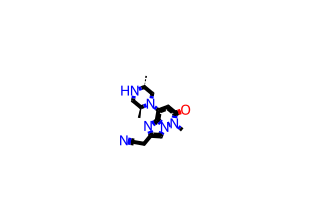 C[C@@H]1CN(c2cc(=O)n(C)n3cc(CC#N)nc23)[C@@H](C)CN1